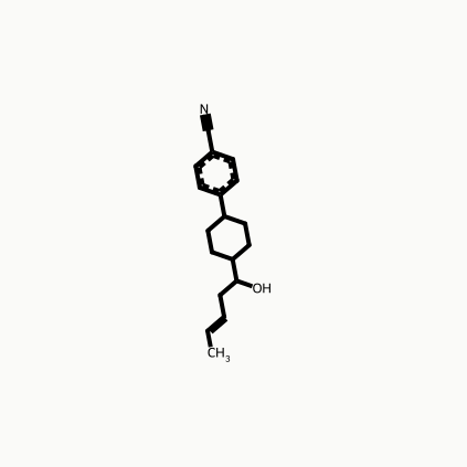 C/C=C/CC(O)C1CCC(c2ccc(C#N)cc2)CC1